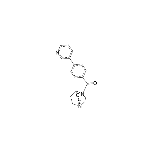 O=C(c1ccc(-c2cccnc2)cc1)N1CCN2CCC1CC2